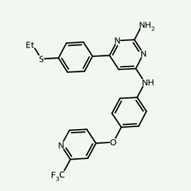 CCSc1ccc(-c2cc(Nc3ccc(Oc4ccnc(C(F)(F)F)c4)cc3)nc(N)n2)cc1